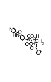 CN(CCc1ccccc1)c1c(N[C@@H](Cc2ccc(NC(=O)c3ccncc3)cc2)C(=O)O)c(=O)c1=O